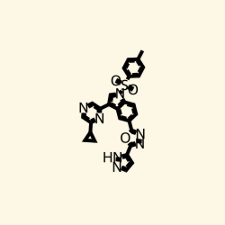 Cc1ccc(S(=O)(=O)n2cc(-c3cncc(C4CC4)n3)c3cc(-c4nnc(-c5ccn[nH]5)o4)ccc32)cc1